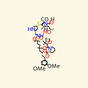 CCC(C)(C)C(=O)C(=O)N1CCCC[C@H]1C(=O)O[C@H](CCc1ccc(OC)c(OC)c1)CC(C)(C)CCC(C)(C)S(=O)(=O)NC[C@@H]1C[C@H](SC2=C(C(=O)O)N3C(=O)[C@H]([C@@H](C)O)[C@H]3[C@H]2C)CN1